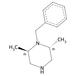 C[C@@H]1CNC[C@@H](C)N1Cc1ccccc1